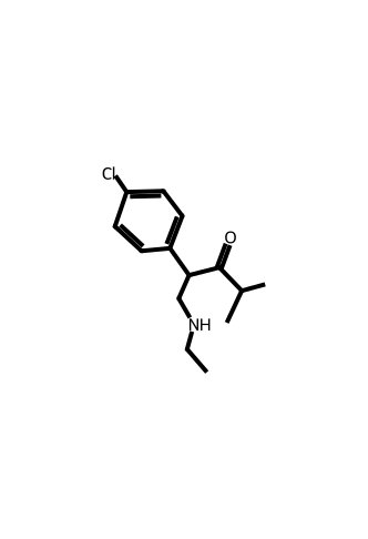 CCNCC(C(=O)C(C)C)c1ccc(Cl)cc1